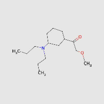 CCCN(CCC)C1CCCC(C(=O)COC)C1